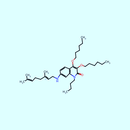 CCCCCCOc1c(OCCCCCC)c2ccc(NC/C=C(\C)CCC=C(C)C)cc2n(CCCC)c1=O